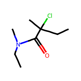 CCN(C)C(=O)C(C)(Cl)CC